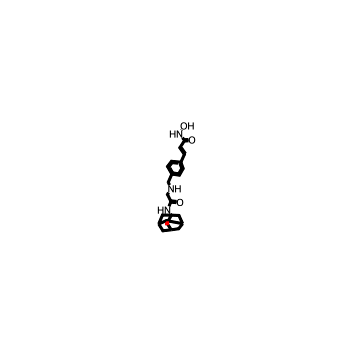 O=C(/C=C/c1ccc(CNCC(=O)NC23CC4CC(CC(C4)C2)C3)cc1)NO